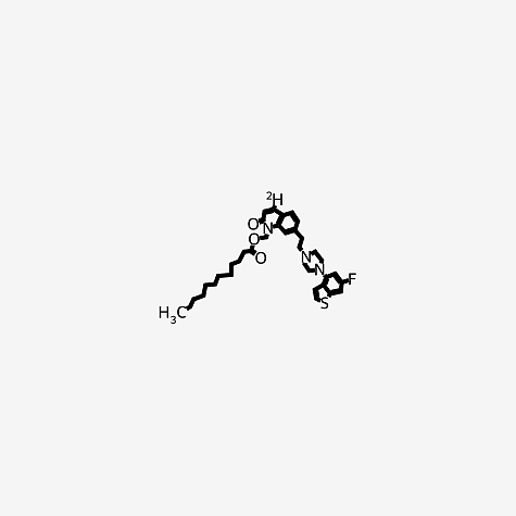 [2H]c1cc(=O)n(COC(=O)CCCCCCCCCCC)c2cc(CCN3CCN(c4cc(F)cc5sccc45)CC3)ccc12